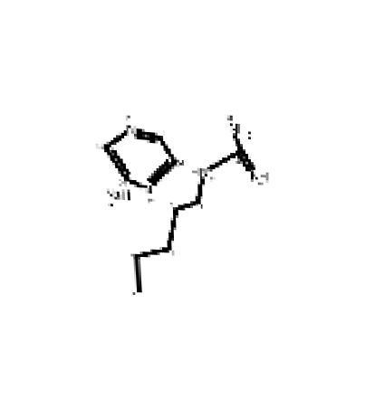 CCCCCNC(=N)N.[NaH].c1cnccn1